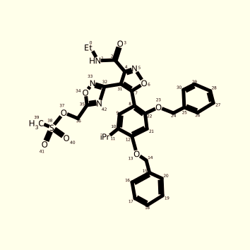 CCNC(=O)c1noc(-c2cc(C(C)C)c(OCc3ccccc3)cc2OCc2ccccc2)c1-c1noc(COS(C)(=O)=O)n1